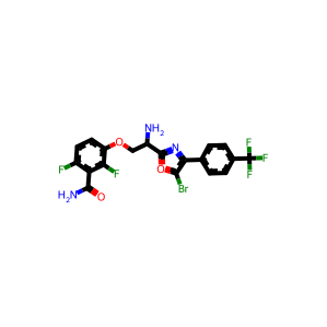 NC(=O)c1c(F)ccc(OCC(N)c2nc(-c3ccc(C(F)(F)F)cc3)c(Br)o2)c1F